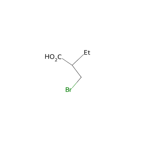 CCC(CBr)C(=O)O